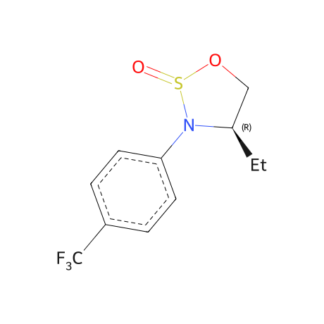 CC[C@@H]1COS(=O)N1c1ccc(C(F)(F)F)cc1